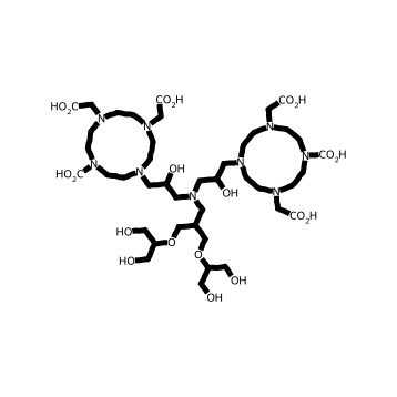 O=C(O)CN1CCN(CC(=O)O)CCN(C(=O)O)CCN(CC(O)CN(CC(O)CN2CCN(CC(=O)O)CCN(C(=O)O)CCN(CC(=O)O)CC2)CC(COC(CO)CO)COC(CO)CO)CC1